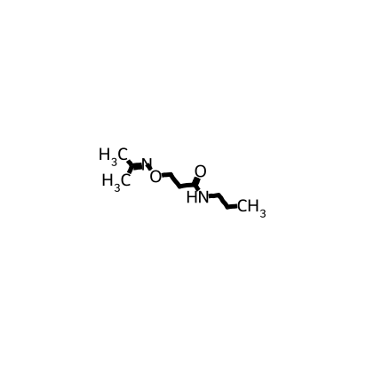 CCCNC(=O)CCON=C(C)C